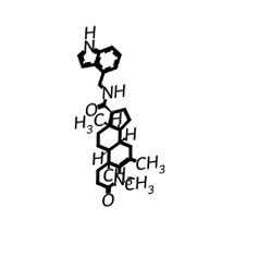 CC1=C2N(C)C(=O)CC[C@]2(C)[C@H]2CC[C@]3(C)[C@@H](C(=O)NCc4cccc5[nH]ccc45)CC[C@H]3[C@@H]2C1